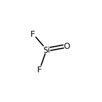 O=[Si](F)F